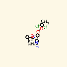 CC(=O)NCCc1ccccc1-c1onc([C@H]2CNCC[C@@H]2c2ccc(OCCOc3c(Cl)cc(C)cc3Cl)cc2)c1C(C)=O